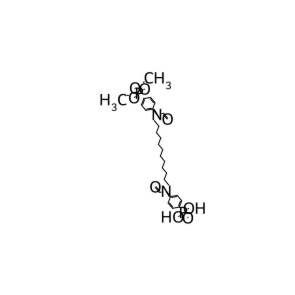 CCOP(=O)(OCC)c1ccc(N(C=O)CCCCCCCCCCCCN(C=O)c2ccc(P(=O)(O)O)cc2)cc1